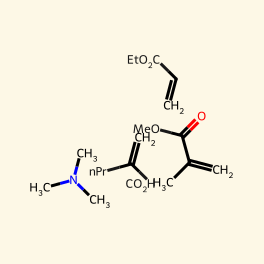 C=C(C)C(=O)OC.C=C(CCC)C(=O)O.C=CC(=O)OCC.CN(C)C